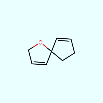 C1=CC2(C=CCO2)CC1